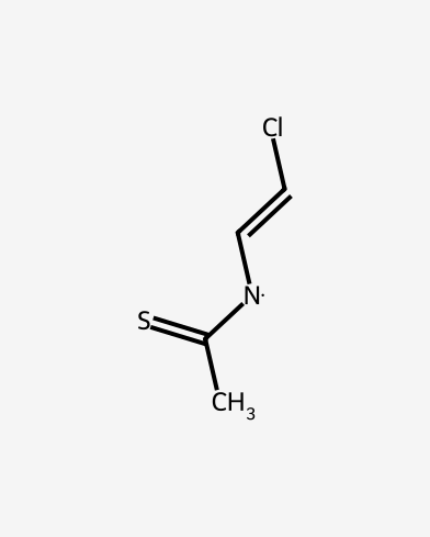 CC(=S)[N]/C=C/Cl